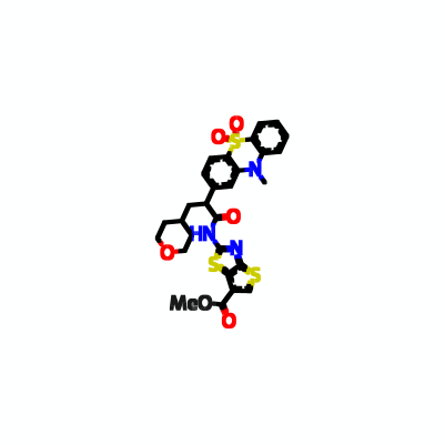 COC(=O)c1csc2nc(NC(=O)C(CC3CCOCC3)c3ccc4c(c3)N(C)c3ccccc3S4(=O)=O)sc12